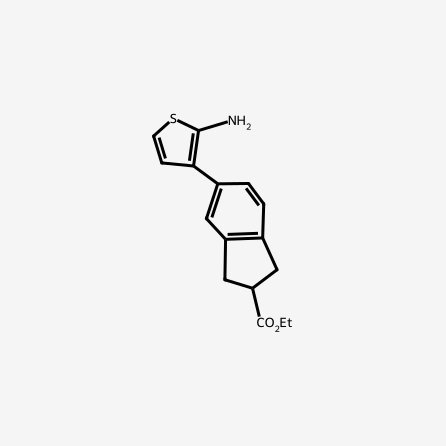 CCOC(=O)C1Cc2ccc(-c3ccsc3N)cc2C1